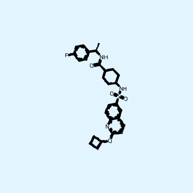 C[C@@H](NC(=O)C1CCC(NS(=O)(=O)c2ccc3nc(OC4CCC4)ccc3c2)CC1)c1ccc(F)cc1